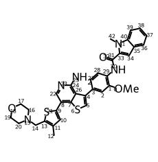 COc1cc(-c2csc3c(-c4cc(C)c(CN5CCOCC5)s4)cnc(N)c23)ccc1NC(=O)c1cc2ccccc2n1C